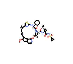 C=C[C@@H]1C[C@]1(NC(=O)[C@@H]1C[C@@H]2CN1C(=O)[C@H](C1CCCCC1)Nc1nc(cs1)C(C)(C)C/C=C/c1cc3c(nccc3cc1OC)O2)C(=O)NS(=O)(=O)C1CC1